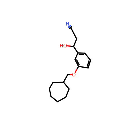 N#CCC(O)c1cccc(OCC2CCCCCC2)c1